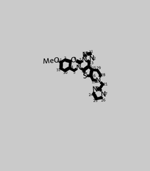 COc1ccc(Cn2c(=O)n3ncnc3c3c4c(sc32)CN(Cc2ncccn2)CC4)cc1